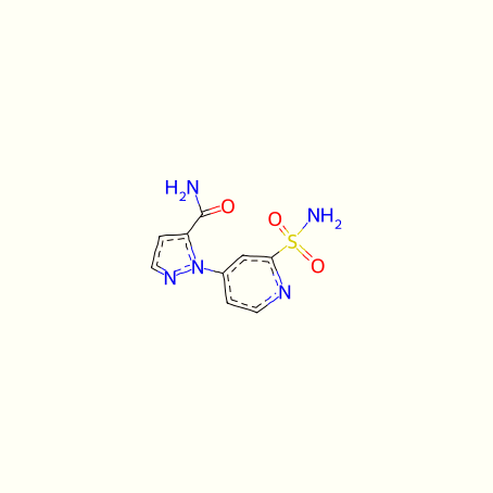 NC(=O)c1ccnn1-c1ccnc(S(N)(=O)=O)c1